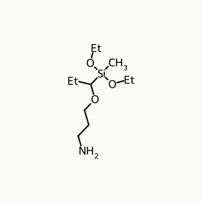 CCO[Si](C)(OCC)C(CC)OCCCN